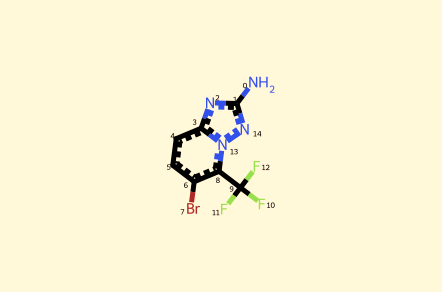 Nc1nc2ccc(Br)c(C(F)(F)F)n2n1